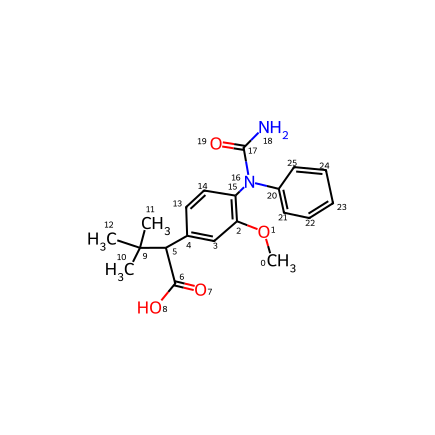 COc1cc(C(C(=O)O)C(C)(C)C)ccc1N(C(N)=O)c1ccccc1